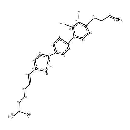 C=CCOc1ccc(-c2ccc(-c3ccc(/C=C/CCCC(C)O)nc3)cc2)c(F)c1F